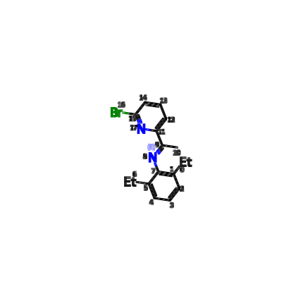 CCc1cccc(CC)c1/N=C(\C)c1cccc(Br)n1